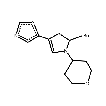 CCC(C)C1SC(c2cncs2)=[C]N1C1CCOCC1